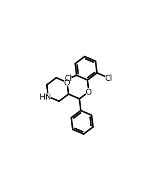 Clc1cccc(Cl)c1OC(c1ccccc1)C1CNCCO1